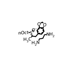 CCCCCCCC[S+]([O-])C(C)Cc1ccc2c(c1)OCO2.NCCCN